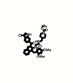 COc1ccc(Cc2c(NCC(=O)NCC3CCN(C(=O)OC(C)(C)C)CC3)c(C(=O)c3ccc4c(Cl)c[nH]c4c3)cc3ccccc23)c(OC)c1